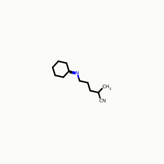 CC(C#N)CCCN=C1CCCCC1